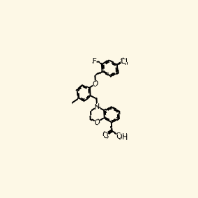 Cc1ccc(OCc2ccc(Cl)cc2F)c(CN2CCOc3c(C(=O)O)cccc32)c1